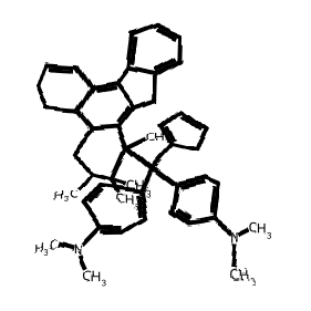 CC1CC2C(=C3Cc4ccccc4C3=C3C=CCCC32)C(C)(C(C2=CC=CC2)(c2ccc(N(C)C)cc2)c2ccc(N(C)C)cc2)C1(C)C